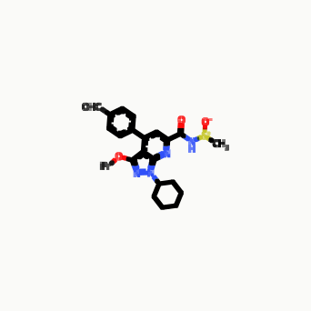 CC(C)Oc1nn(C2CCCCC2)c2nc(C(=O)N[S+](C)[O-])cc(-c3ccc(C=O)cc3)c12